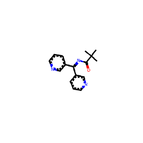 CC(C)(C)C(=O)N=C(c1cccnc1)c1cccnc1